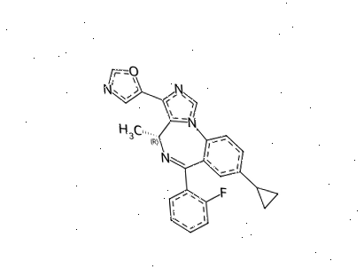 C[C@H]1N=C(c2ccccc2F)c2cc(C3CC3)ccc2-n2cnc(-c3cnco3)c21